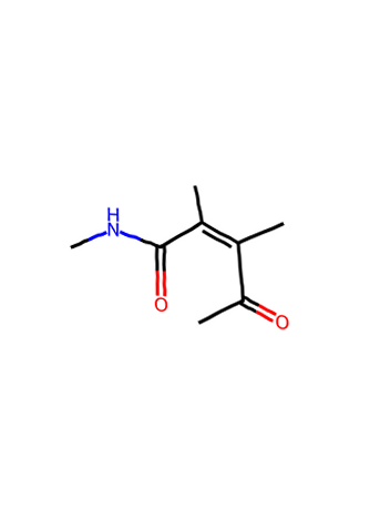 CNC(=O)/C(C)=C(/C)C(C)=O